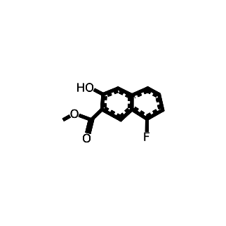 COC(=O)c1cc2c(F)cccc2cc1O